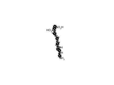 Cc1cc(N=Nc2cc(C)c(N=Nc3ccc4cc(NOc5ccc(N)cc5)ccc4c3O)cc2C)ccc1N=Nc1ccc(N=Nc2cc3c(S(=O)(=O)O)cccc3cc2S(=O)(=O)O)c(C)c1